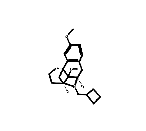 COc1ccc2c(c1)[C@@]13CCC[C@@H](C)C1(OC)[C@@H](C2)N(CC1CCC1)CC3